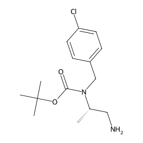 C[C@@H](CN)N(Cc1ccc(Cl)cc1)C(=O)OC(C)(C)C